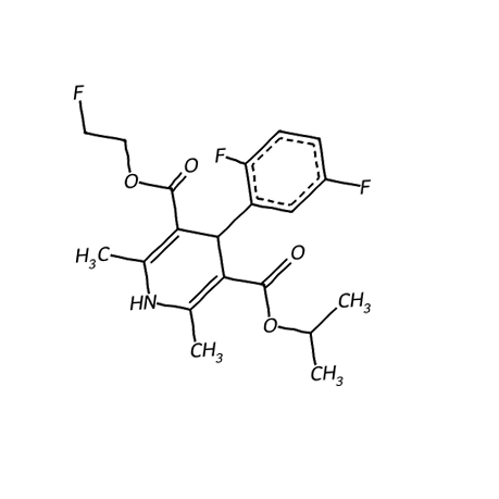 CC1=C(C(=O)OCCF)C(c2cc(F)ccc2F)C(C(=O)OC(C)C)=C(C)N1